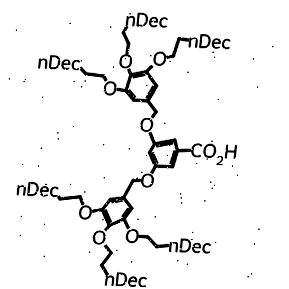 CCCCCCCCCCCCOc1cc(COc2cc(OCc3cc(OCCCCCCCCCCCC)c(OCCCCCCCCCCCC)c(OCCCCCCCCCCCC)c3)cc(C(=O)O)c2)cc(OCCCCCCCCCCCC)c1OCCCCCCCCCCCC